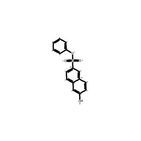 O=S(=O)(Oc1ccccc1)c1ccc2cc(O)ccc2c1